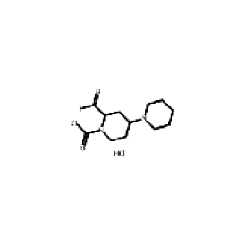 Cl.O=C(I)C1CC(N2CCCCC2)CCN1C(=O)Cl